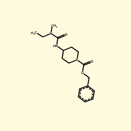 CCN(C)C(=O)NC1CCN(C(=O)OCc2ccccc2)CC1